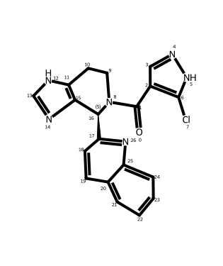 O=C(c1cn[nH]c1Cl)N1CCc2[nH]cnc2[C@@H]1c1ccc2ccccc2n1